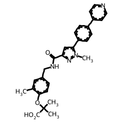 Cc1cc(CNC(=O)c2cc(-c3ccc(-c4ccncc4)cc3)n(C)n2)ccc1OC(C)(C)C(=O)O